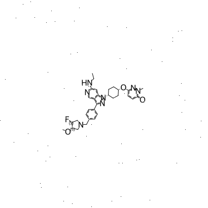 CCNc1cc2c(cn1)c(-c1ccc(CN3C[C@H](OC)[C@@H](F)C3)cc1)nn2[C@H]1CC[C@@H](Oc2ccc(=O)n(C)n2)CC1